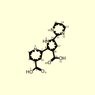 O=C(O)c1ccnc(-c2[nH]c(-c3ncccn3)cc2C(=O)O)c1